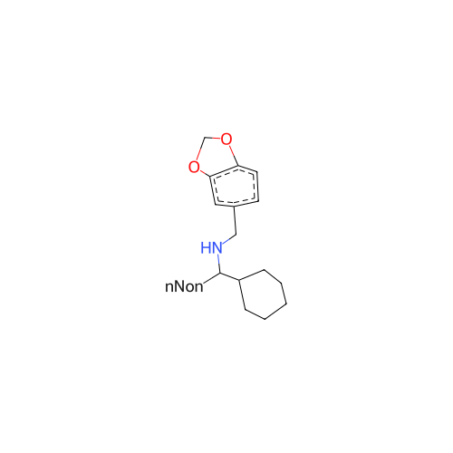 CCCCCCCCCC(NCc1ccc2c(c1)OCO2)C1CCCCC1